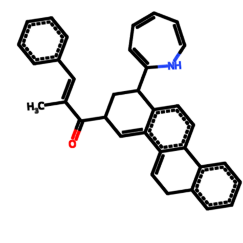 CC(=Cc1ccccc1)C(=O)C1C=c2c(ccc3c2=CCc2ccccc2-3)C(C2=CC=CC=CN2)C1